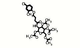 CC(=O)OCC1OC(OC(C)=O)C(NC(=O)CCCOc2ccc(Cl)cc2C)C(OC(C)=O)C1OC(C)=O